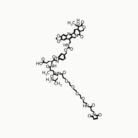 CC[C@@]1(O)C(=O)OCc2c1cc1n(c2=O)Cc2c-1nc1cc3c(cc1c2CNC(=O)OCc1ccc(NC(=O)[C@H](CCC(=O)O)NC(=O)[C@H](C)CC(=O)[C@@H](CC(C)N)NC(=O)CCOCCOCCOCCOCCNC(=O)CCN2C(=O)C=CC2=O)cc1)OCO3